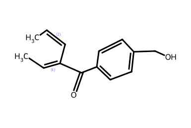 C/C=C\C(=C/C)C(=O)c1ccc(CO)cc1